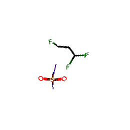 FCCC(F)F.O=S(=O)(I)I